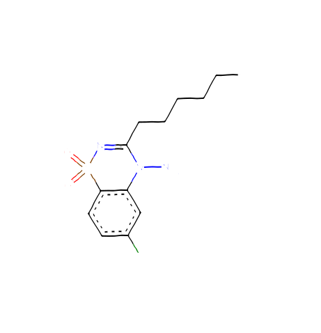 CCCCCCC1=NS(=O)(=O)c2ccc(Cl)cc2N1N